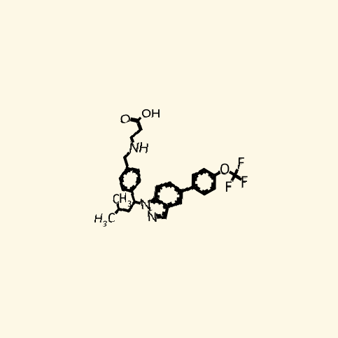 CC(C)CC(c1ccc(CNCCC(=O)O)cc1)n1ncc2cc(-c3ccc(OC(F)(F)F)cc3)ccc21